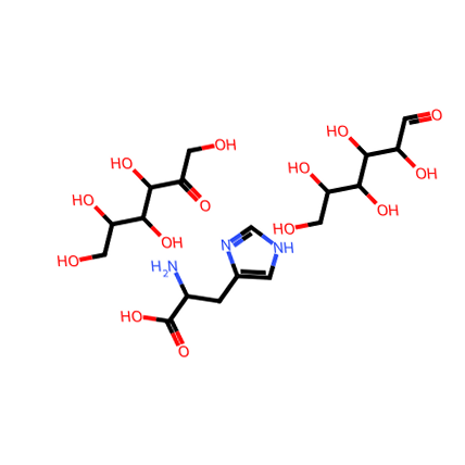 NC(Cc1c[nH]cn1)C(=O)O.O=C(CO)C(O)C(O)C(O)CO.O=CC(O)C(O)C(O)C(O)CO